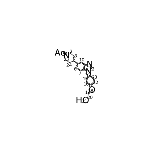 CC(=O)N1CC=C(c2ccc3c(c2)ncn3-c2ccc(OCCO)cc2)CC1